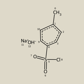 Cc1ccc(S(=O)(=O)Cl)cc1.[Na+].[OH-]